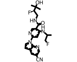 CC(CF)Nc1cc(-n2ccc3cc(C#N)cnc32)ncc1C(=O)NC[C@@H](F)C(C)(C)O